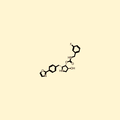 O=C(NCc1cccc(F)c1)O[C@@H]1[C@@H](O)CN[C@@H]1Cc1ccc(-c2ncco2)cc1